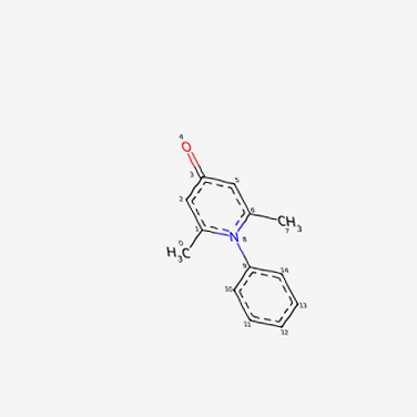 Cc1cc(=O)cc(C)n1-c1ccccc1